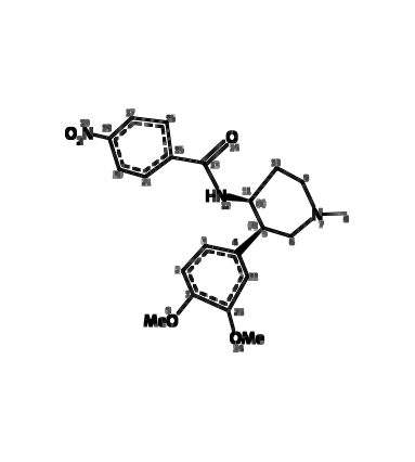 COc1ccc([C@@H]2CN(C)CC[C@@H]2NC(=O)c2ccc([N+](=O)[O-])cc2)cc1OC